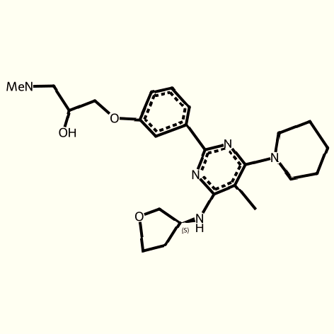 CNCC(O)COc1cccc(-c2nc(N[C@H]3CCOC3)c(C)c(N3CCCCC3)n2)c1